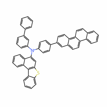 c1ccc(-c2cccc(N(c3ccc(-c4ccc5c(ccc6c7ccccc7ccc56)c4)cc3)c3cc4sc5ccccc5c4c4ccccc34)c2)cc1